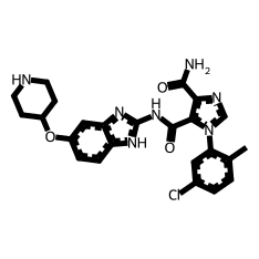 Cc1ccc(Cl)cc1-n1cnc(C(N)=O)c1C(=O)Nc1nc2cc(OC3CCNCC3)ccc2[nH]1